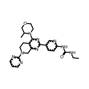 CCNC(=O)Nc1ccc(-c2nc3c(c(N4CCOCC4C)n2)CCN(c2ncccn2)C3)cn1